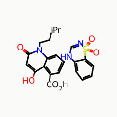 CC(C)CCn1c(=O)cc(O)c2c(C(=O)O)cccc21.O=S1(=O)N=CNc2ccccc21